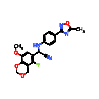 COc1cc(C(C#N)Nc2ccc(-c3noc(C)n3)cc2)c(F)c2c1OCOC2